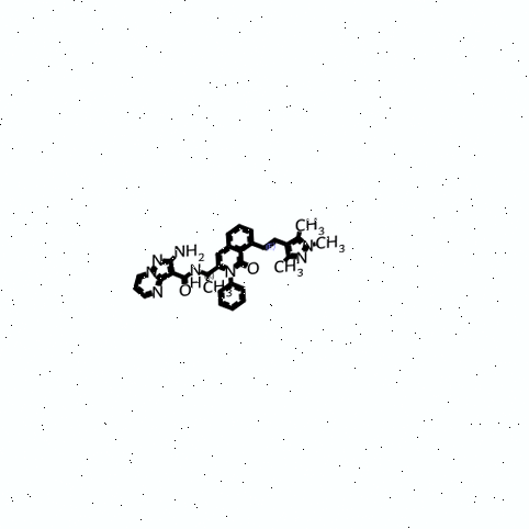 Cc1nn(C)c(C)c1/C=C/c1cccc2cc([C@@H](C)NC(=O)c3c(N)nn4cccnc34)n(-c3ccccc3)c(=O)c12